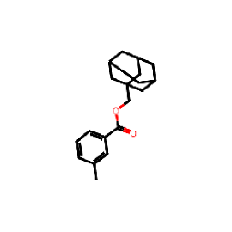 Cc1cccc(C(=O)OCC23CC4CC(CC(C4)C2)C3)c1